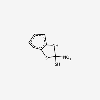 O=[N+]([O-])C1(S)Nc2ccccc2S1